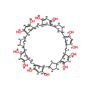 Oc1cc(O)c2cc1Cc1cc(c(O)cc1O)C1CCC(C1)c1cc(c(O)cc1O)Cc1cc(c(O)cc1O)C1CCC(C1)c1cc(c(O)cc1O)Cc1cc(c(O)cc1O)C1CCC2C1